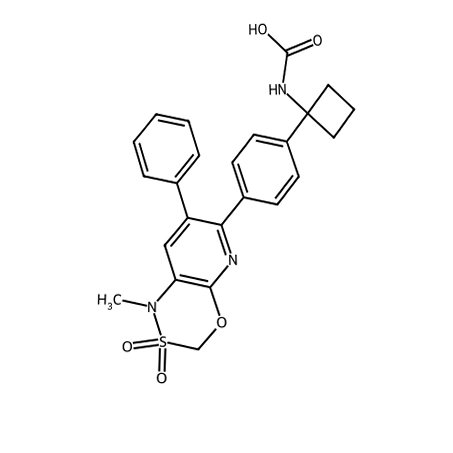 CN1c2cc(-c3ccccc3)c(-c3ccc(C4(NC(=O)O)CCC4)cc3)nc2OCS1(=O)=O